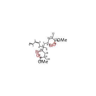 C=C/C=C\CC(C)(CC(Br)CC(C)C(=O)OC)C(Br)CC(C)C(=O)OC